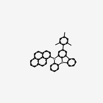 Cc1cc(C)c(-c2cc3c4c(c2)N(c2ccc5ccc6cccc7ccc2c5c67)c2ccccc2B4c2ccccc2-3)c(C)c1